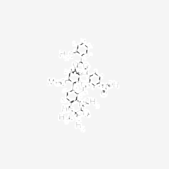 COc1ccc([N+](=O)O)cc1OCc1c(-c2ccc(OC(=O)c3ccccc3C)cc2OC)ccc2c1N(C)C(=O)C(C)(C)N2